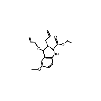 C=CCOC1c2cc(OC)ccc2NC(C(=O)OCC)C1CC=C